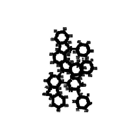 c1ccc(-c2nc(-c3ccccc3)nc(-c3c(-n4c5ccccc5c5c4ccc4c6ccccc6n(-c6ccccc6)c45)ccc4sc5ccccc5c34)n2)cc1